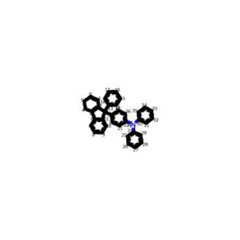 C1=CC2=C(CC1)c1ccccc1C2(c1ccccc1)c1ccc(N(c2ccccc2)c2ccccc2)cc1